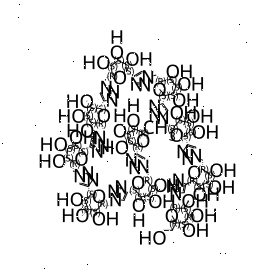 C[C@H]1O[C@H](c2cn(C[C@H]3O[C@@H](c4cn(C[C@H]5O[C@@H](c6cn(C[C@H]7O[C@@H](c8cn(C[C@H]9O[C@@H](c%10cn(C[C@H]%11O[C@@H](c%12cn(C[C@H]%13O[C@@H](c%14cn(C[C@H]%15O[C@@H](c%16cn(C[C@H]%17O[C@H](c%18cn(C[C@H]%19O[C@H](CCO)[C@@H](O)[C@@H](O)[C@@H]%19O)nn%18)[C@@H](O)[C@@H](O)[C@@H]%17O)nn%16)[C@@H](O)[C@@H](O)[C@@H]%15O)nn%14)[C@@H](O)[C@@H](O)[C@@H]%13O)nn%12)[C@@H](O)[C@@H](O)[C@@H]%11O)nn%10)[C@@H](O)[C@@H](O)[C@@H]9O)nn8)[C@@H](O)[C@@H](O)[C@@H]7O)nn6)[C@@H](O)[C@@H](O)[C@@H]5O)nn4)[C@@H](O)[C@@H](O)[C@@H]3O)nn2)[C@@H](O)[C@@H](O)[C@@H]1O